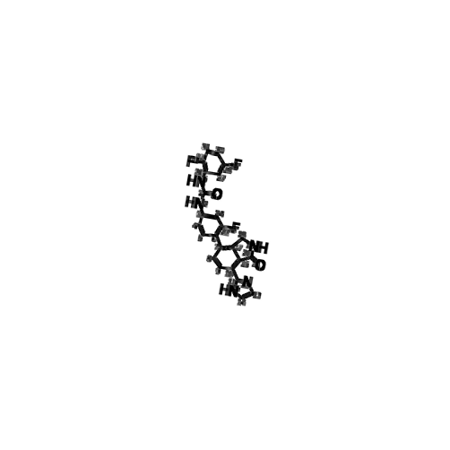 O=C(Nc1ccc(-c2ccc(-c3ncc[nH]3)c3c2CNC3=O)c(F)c1)Nc1cc(F)ccc1F